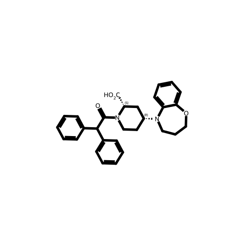 O=C(O)[C@@H]1C[C@H](N2CCCOc3ccccc32)CCN1C(=O)C(c1ccccc1)c1ccccc1